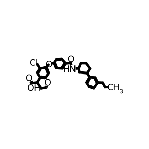 CCCc1cccc(C2CCCC(NC(=O)c3ccc(Oc4cc5c(cc4Cl)C(C(=O)O)CCO5)cc3)C2)c1